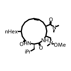 CCCCCCC1CCC/C=C\CC(C(=O)N(C)C)CC(CN(C)OC)NC(=O)[C@@H](CC(C)C)NC(=O)C1